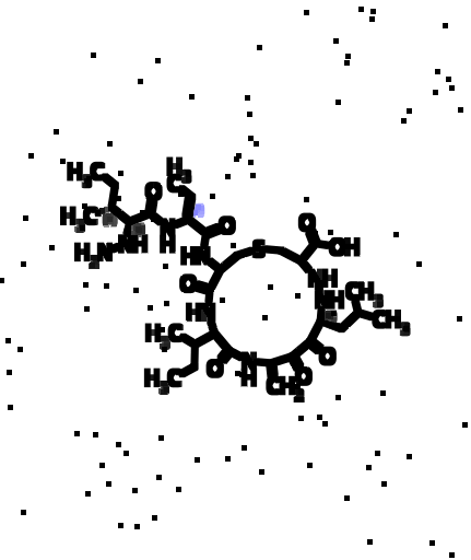 C=C1NC(=O)C(C(C)CC)NC(=O)C(NC(=O)/C(=C/C)NC(=O)[C@@H](NN)[C@H](C)CC)CSCC(C(=O)O)NN[C@@H](CC(C)C)C(=O)C1=O